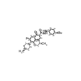 C[C@H]1COc2c(N3CCN(C)CC3)c(F)cc3c(=O)c(C(=O)NNc4ccc(C(C)(C)C)cc4)cn1c23